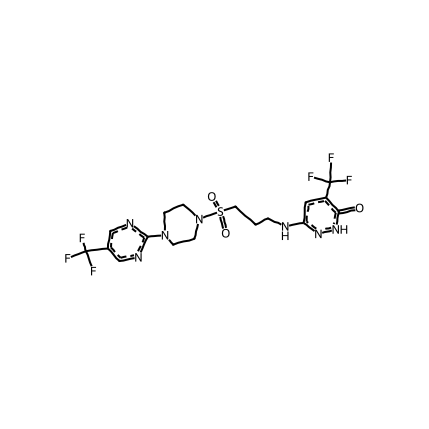 O=c1[nH]nc(NCCCS(=O)(=O)N2CCN(c3ncc(C(F)(F)F)cn3)CC2)cc1C(F)(F)F